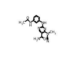 CC(=O)Nc1cccc(Nc2ncc(C(N)=O)c(N(C)C#N)n2)c1